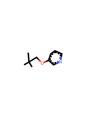 CC(C)(C)COc1cccnc1